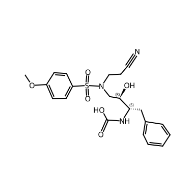 COc1ccc(S(=O)(=O)N(CCC#N)C[C@@H](O)[C@H](Cc2ccccc2)NC(=O)O)cc1